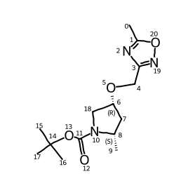 Cc1nc(CO[C@@H]2C[C@H](C)N(C(=O)OC(C)(C)C)C2)no1